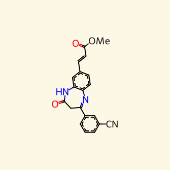 COC(=O)C=Cc1ccc2c(c1)NC(=O)CC(c1cccc(C#N)c1)=N2